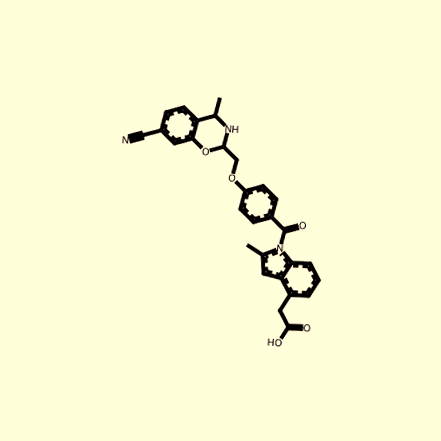 Cc1cc2c(CC(=O)O)cccc2n1C(=O)c1ccc(OCC2NC(C)c3ccc(C#N)cc3O2)cc1